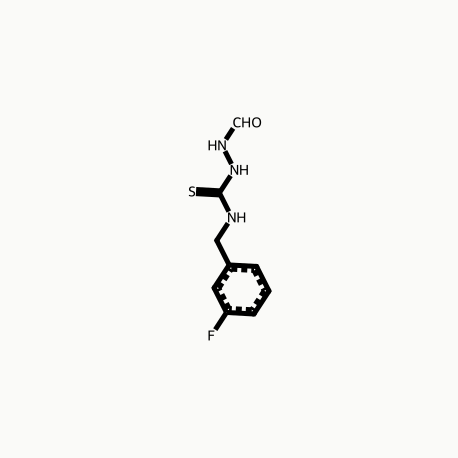 O=CNNC(=S)NCc1cccc(F)c1